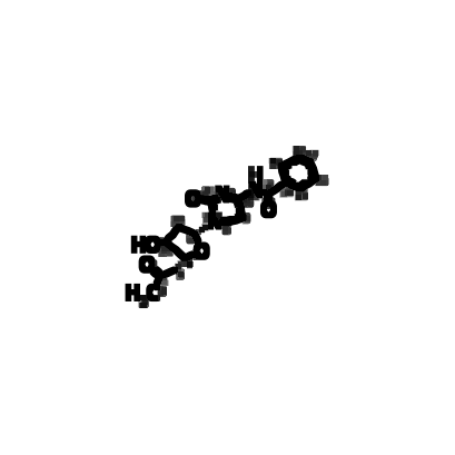 CC(=O)C[C@H]1O[C@@H](n2ccc(NC(=O)c3ccccc3)nc2=O)CC1O